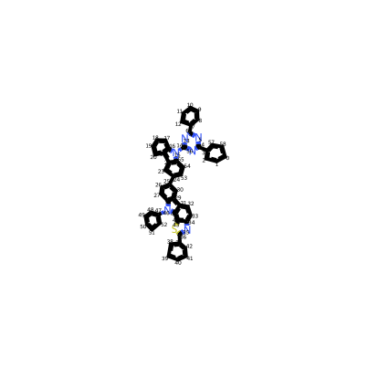 c1ccc(-c2nc(-c3ccccc3)nc(-n3c4ccccc4c4cc(-c5ccc6c(c5)c5ccc7nc(-c8ccccc8)sc7c5n6-c5ccccc5)ccc43)n2)cc1